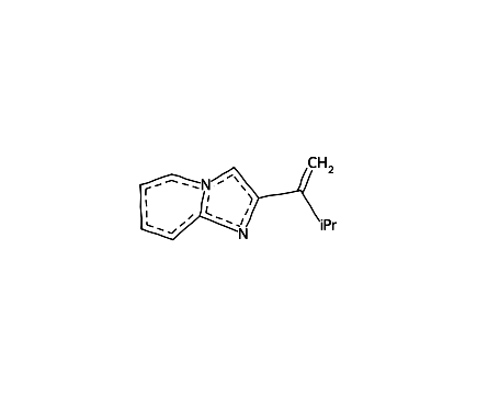 C=C(c1cn2ccccc2n1)C(C)C